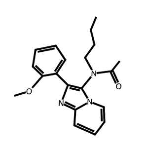 CCCCN(C(C)=O)c1c(-c2ccccc2OC)nc2ccccn12